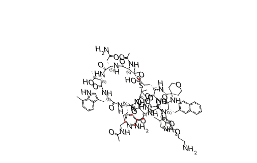 CC(=O)NCCCC[C@@H]1NC(=O)[C@H](Cc2c[nH]c3c(C)cccc23)NC(=O)[C@H]([C@@H](C)O)NC(=O)[C@H](CC(N)=O)NC(=O)[C@@H](NC(C)=O)C(C)(C)SSC(C)(C)[C@@H](C(=O)N[C@@H](Cc2ccc(OCCN)cc2)C(=O)N[C@@H](Cc2ccc3ccccc3c2)C(=O)NC2(C(=O)N[C@@H](CCC(=O)O)C(=O)N[C@@H](CCC(N)=O)C(=O)N[C@@H](Cc3cccnc3)C(=O)N(C)CC(N)=O)CCOCC2)NC1=O